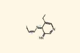 CCC1=CN=CC(=N)/C1=N\C=C/I